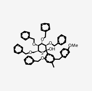 COc1ccc(Cc2cc([C@]3(O)S[C@@H](COCc4ccccc4)[C@@H](OCc4ccccc4)[C@H](OCc4ccccc4)[C@H]3OCc3ccccc3)c(OCc3ccccc3)cc2C)cc1